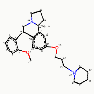 COc1ccccc1[C@H]1CN2CCC[C@H]2c2cc(OCCCN3CCCCC3)ccc21